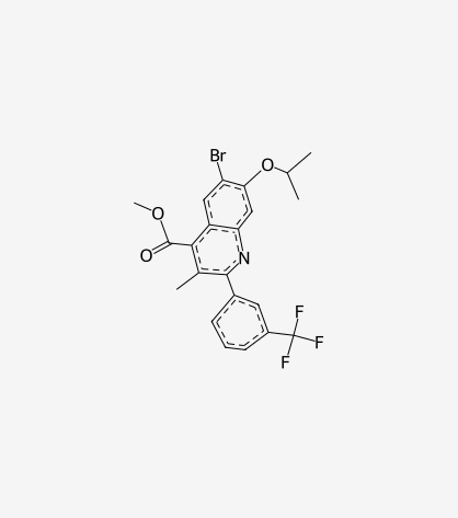 COC(=O)c1c(C)c(-c2cccc(C(F)(F)F)c2)nc2cc(OC(C)C)c(Br)cc12